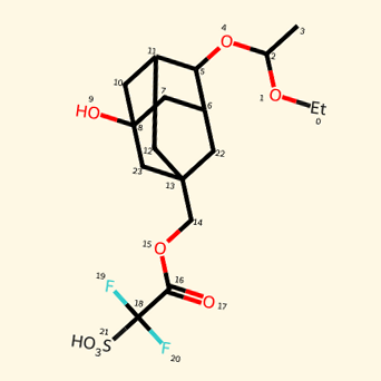 CCOC(C)OC1C2CC3(O)CC1CC(COC(=O)C(F)(F)S(=O)(=O)O)(C2)C3